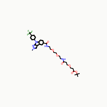 Cn1cc2c3cc(C(=O)NCCOCCOCCNC(=O)CCOCCC(=O)OC(C)(C)C)ccc3n(-c3ccc(C(F)(F)F)cc3)c2n1